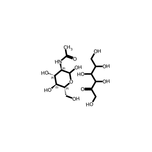 CC(=O)N[C@H]1C(O)O[C@H](CO)[C@@H](O)[C@@H]1O.O=C(CO)C(O)C(O)C(O)CO